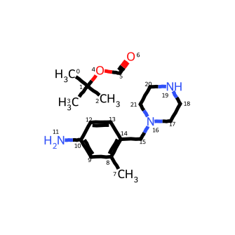 CC(C)(C)OC=O.Cc1cc(N)ccc1CN1CCNCC1